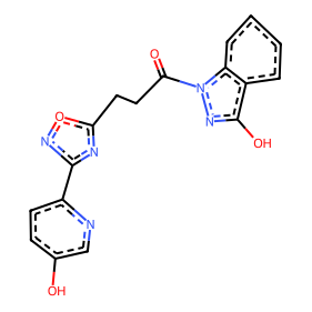 O=C(CCc1nc(-c2ccc(O)cn2)no1)n1nc(O)c2ccccc21